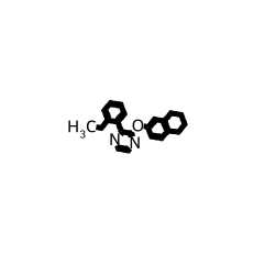 CCc1ccccc1-c1nccnc1Oc1ccc2c(c1)CCCC2